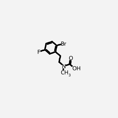 CN(CCc1cc(F)ccc1Br)C(=O)O